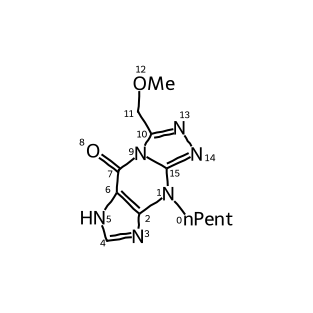 CCCCCn1c2nc[nH]c2c(=O)n2c(COC)nnc12